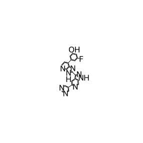 Oc1cc(F)cc(-c2ccnc3[nH]c(-c4n[nH]c5cnc(-c6cncnc6)cc45)nc23)c1